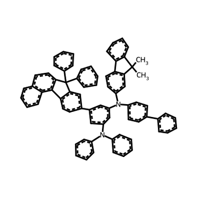 CC1(C)c2ccccc2-c2ccc(N(c3ccc(-c4ccccc4)cc3)c3cc(-c4ccc5c(c4)C(c4ccccc4)(c4ccccc4)c4ccc6ccccc6c4-5)cc(N(c4ccccc4)c4ccccc4)c3)cc21